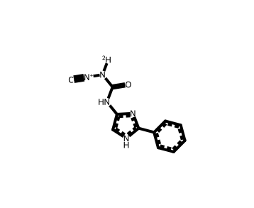 [2H]N([N+]#[C-])C(=O)Nc1c[nH]c(-c2ccccc2)n1